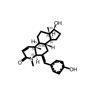 CN1C(=O)C=C[C@]2(C)[C@H]3CC[C@]4(C)[C@@H](O)CC[C@H]4[C@@H]3CC(=Cc3ccc(O)cc3)[C@@H]12